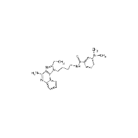 CCc1nc2c(N)nc3ccccc3c2n1CCCCNC(=O)c1cccc(N(C)C)c1